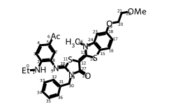 CCNc1ccc(C(C)=O)cc1N=C1SC(=C2Sc3ccc(OCCOC)cc3N2C)C(=O)N1Cc1ccccc1